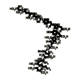 CC(C)C[C@H](N)C(=O)O.CC(C)[C@H](N)C(=O)O.CC[C@H](C)[C@H](N)C(=O)O.CSCC[C@H](N)C(=O)O.C[C@@H](O)[C@H](N)C(=O)O.C[C@H](N)C(=O)O.NC(=O)CC[C@H](N)C(=O)O.NCC(=O)O.NCCCC[C@H](N)C(=O)O.N[C@@H](CCC(=O)O)C(=O)O.N[C@@H](CO)C(=O)O.N[C@@H](Cc1c[nH]cn1)C(=O)O.N[C@@H](Cc1ccc(O)cc1)C(=O)O.N[C@@H](Cc1ccccc1)C(=O)O.O=C(O)[C@@H]1CCCN1